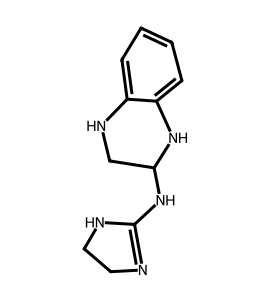 c1ccc2c(c1)NCC(NC1=NCCN1)N2